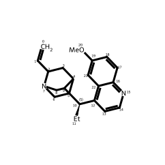 C=CC1CC2CCN1CC2[C@H](CC)c1ccnc2ccc(OC)cc12